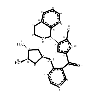 C[C@@H]1C[C@@H](Nc2ncncc2C(=O)c2cc([C@@H]3OCCc4cccnc43)c(Cl)s2)C[C@H]1O